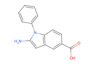 Nc1cc2cc(C(=O)O)ccc2n1-c1ccccc1